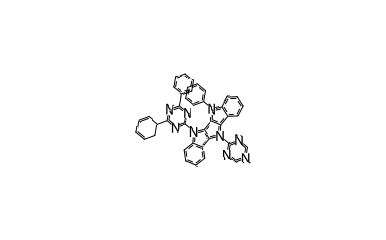 C1=CCC(c2nc(-c3ccccc3)nc(-n3c4ccccc4c4c3c3c(c5ccccc5n3-c3ccccc3)n4-c3ncncn3)n2)C=C1